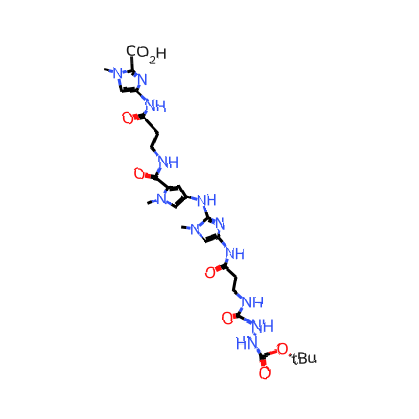 Cn1cc(Nc2nc(NC(=O)CCNC(=O)NNC(=O)OC(C)(C)C)cn2C)cc1C(=O)NCCC(=O)Nc1cn(C)c(C(=O)O)n1